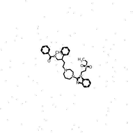 CCS(=O)(=O)CCn1c(N2CCCN(CCC(CN(C)C(=O)c3ccccc3)c3ccccc3)CC2)nc2ccccc21